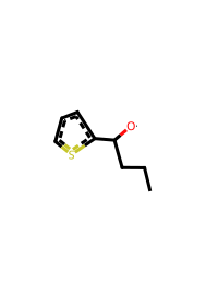 CCCC([O])c1cccs1